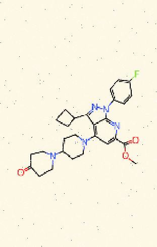 COC(=O)c1cc(N2CCC(N3CCC(=O)CC3)CC2)c2c(C3CCC3)nn(-c3ccc(F)cc3)c2n1